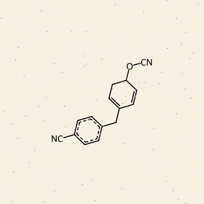 N#COC1C=CC(Cc2ccc(C#N)cc2)=CC1